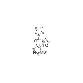 O=C([C@@H]1N=CO[C@H]1c1ccncc1Br)N1CCCC1